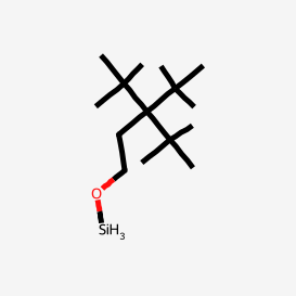 CC(C)(C)C(CCO[SiH3])(C(C)(C)C)C(C)(C)C